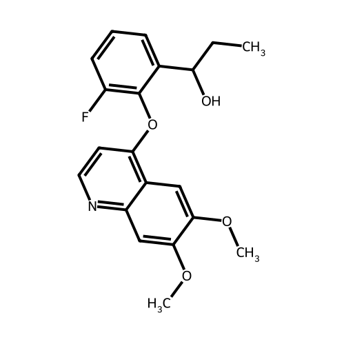 CCC(O)c1cccc(F)c1Oc1ccnc2cc(OC)c(OC)cc12